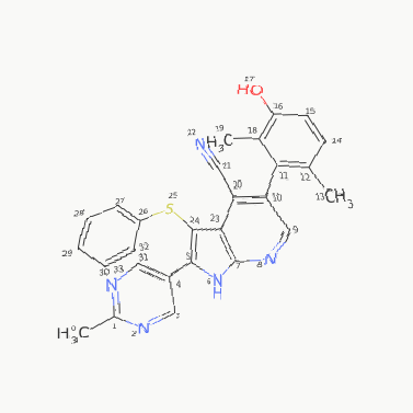 Cc1ncc(-c2[nH]c3ncc(-c4c(C)ccc(O)c4C)c(C#N)c3c2Sc2ccccc2)cn1